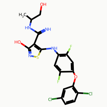 CC(CO)NC(=N)c1c(O)nsc1Nc1cc(F)c(Oc2cc(Cl)ccc2Cl)cc1F